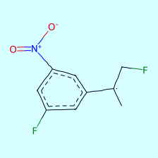 C[C](CF)c1cc(F)cc([N+](=O)[O-])c1